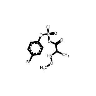 CONC(C)C(=O)OP(=O)(Cl)Oc1ccc(Br)cc1